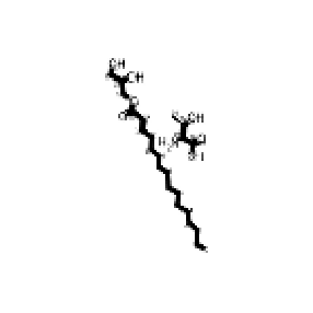 CCCCCCCCCCCCCC=CC(=O)OCC(O)CO.C[C@@H](O)[C@H](N)C(=O)O